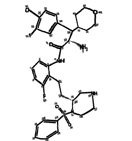 N[C@H](C(=O)Nc1cccc(F)c1CC[C@@H]1CNCCN1S(=O)(=O)c1ccccc1)C(c1ccc(Cl)c(F)c1)C1CCOCC1